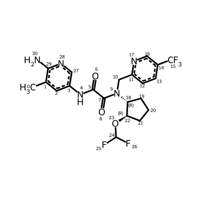 Cc1cc(NC(=O)C(=O)N(Cc2ccc(C(F)(F)F)cn2)[C@@H]2CCC[C@H]2OC(F)F)cnc1N